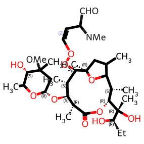 CC[C@@H](O)[C@@](C)(O)[C@@H]1OC(=O)[C@H](C)[C@@H](O[C@H]2CC(C)(OC)[C@@H](O)C(C)O2)[C@H](C)[C@@H](OO/C=C\C(C=O)NC)[C@@]2(C)CC(C)C(O2)[C@@H]1C